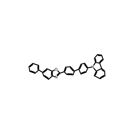 c1ccc(-c2ccc3nc(-c4ccc(-c5ccc(-n6c7ccccc7c7ccccc76)cc5)cc4)oc3c2)cc1